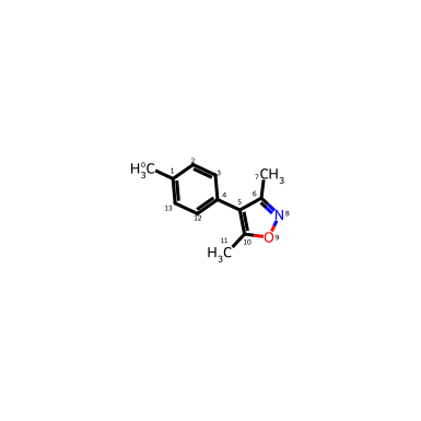 Cc1ccc(-c2c(C)noc2C)cc1